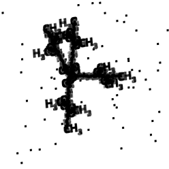 CCCCCCC(CCC(CCCCCCCC(=O)OCC(COC(=O)CCCCCCCC(CCC(CCCCCC)OC(C)=O)OC(C)=O)(COC(=O)CCCCCCCC(CCC(CCCCCC)OC(C)=O)OC(C)=O)OC(=O)CCCCCCCC(CCC(CCCCCC)OC(C)=O)OC(C)=O)OC(C)=O)OC(C)=O